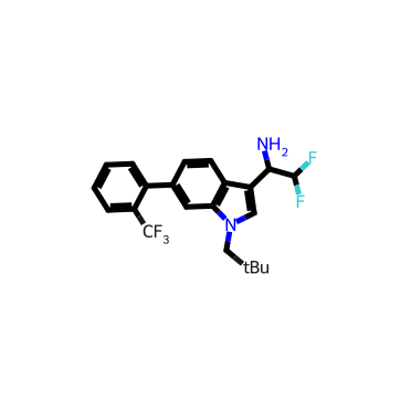 CC(C)(C)Cn1cc(C(N)C(F)F)c2ccc(-c3ccccc3C(F)(F)F)cc21